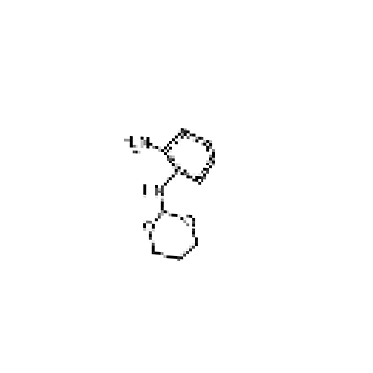 Nc1ccccc1NC1OCCCO1